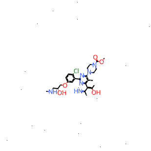 CNC[C@@H](O)COc1ccc(Cl)c(-c2nc(/C(C(C)=N)=C(\C)O)c(C)c(N3CCN(C(=O)OC)CC3)n2)c1